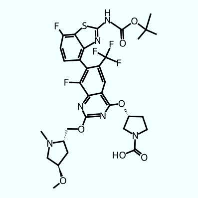 CO[C@@H]1C[C@@H](COc2nc(O[C@@H]3CCN(C(=O)O)C3)c3cc(C(F)(F)F)c(-c4ccc(F)c5sc(NC(=O)OC(C)(C)C)nc45)c(F)c3n2)N(C)C1